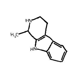 CC1NCCc2c1[nH]c1ccccc21